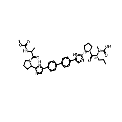 CCC[C@@H](C(=O)N1CCC[C@H]1c1ncc(-c2ccc(-c3ccc(-c4cnc(C5CCCN5C(=O)C(C)NC(=O)OC)[nH]4)cc3)cc2)[nH]1)N(C)C(=O)O